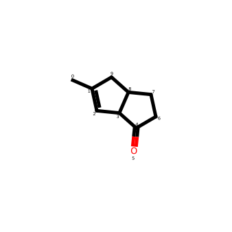 CC1=CC2C(=O)CCC2C1